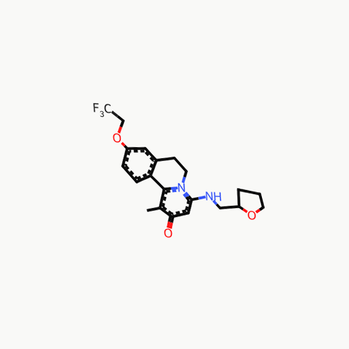 Cc1c2n(c(NCC3CCCO3)cc1=O)CCc1cc(OCC(F)(F)F)ccc1-2